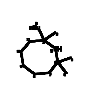 CCCCC1(C)BC(C)(C)CCCCC1